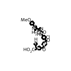 COc1ccc(-n2cc(-c3cnc(C(=O)Nc4ccc(C(=O)N5CCN(C(=O)C6CC[N+](CC(=O)O)(CC7CNC7)CC6)CC5)c(Cl)c4)n3C)c(C(F)(F)F)n2)cc1